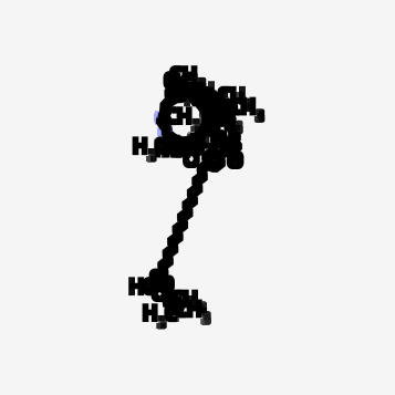 COc1cc2cc(c1Cl)N(C)C(=O)C[C@H](OC(=O)[C@H](C)N(C)C(=O)CCSC1CC(=O)C(c3ccc(CCCCCCCCCCCCCCCCCCOP(=O)(O)OCC[N+](C)(C)C)cc3)C1=O)[C@@]1(C)OC1[C@H](C)[C@@H]1C[C@@](O)(NC(=O)O1)[C@H](OC)/C=C/C=C(\C)C2